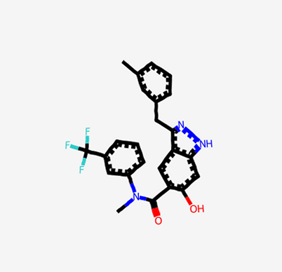 Cc1cccc(Cc2n[nH]c3cc(O)c(C(=O)N(C)c4cccc(C(F)(F)F)c4)cc23)c1